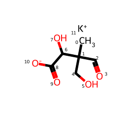 CC(C=O)(CO)C(O)C(=O)[O-].[K+]